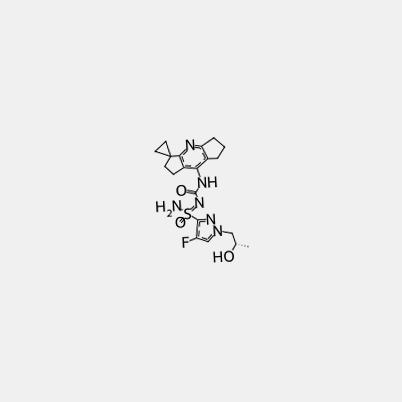 C[C@H](O)Cn1cc(F)c([S@@](N)(=O)=NC(=O)Nc2c3c(nc4c2CCC42CC2)CCC3)n1